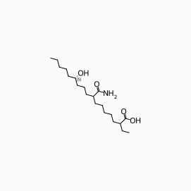 CCCCC[C@H](O)CCCC(CCCCCC(CC)C(=O)O)C(N)=O